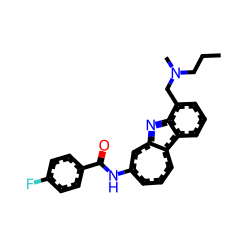 CCCN(C)Cc1cccc2c3cccc(NC(=O)c4ccc(F)cc4)cc-3nc12